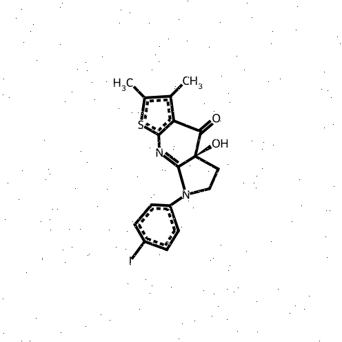 Cc1sc2c(c1C)C(=O)[C@]1(O)CCN(c3ccc(I)cc3)C1=N2